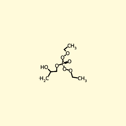 [CH2]C(O)COP(=O)(OOCC)OOCC